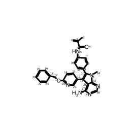 C=C(C)C(=O)Nc1ccc(-c2c(-c3ccc(OCc4ccccc4)nc3)c3c(N)ncnc3n2C)cc1